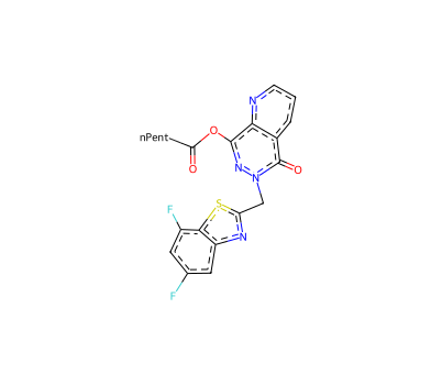 CCCCCC(=O)Oc1nn(Cc2nc3cc(F)cc(F)c3s2)c(=O)c2cccnc12